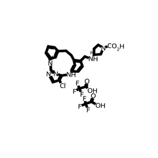 O=C(O)C(F)(F)F.O=C(O)C(F)(F)F.O=C(O)N1CC[C@@H](NCc2ccc3cc2CCc2cccc(c2)Nc2ncc(Cl)c(n2)N3)C1